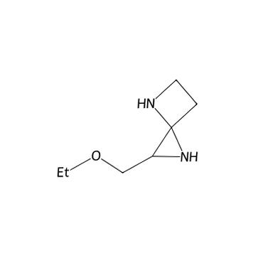 CCOCC1NC12CCN2